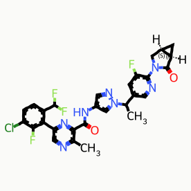 Cc1ncc(-c2c(C(F)F)ccc(Cl)c2F)nc1C(=O)Nc1cnn(C(C)c2cnc(N3C[C@H]4C[C@H]4C3=O)c(F)c2)c1